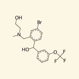 CN(CCO)Cc1cc(Br)ccc1C(O)c1cccc(OC(F)(F)F)c1